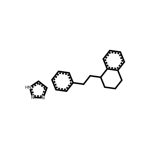 c1c[nH]nn1.c1ccc(CCC2CCCc3ccccc32)cc1